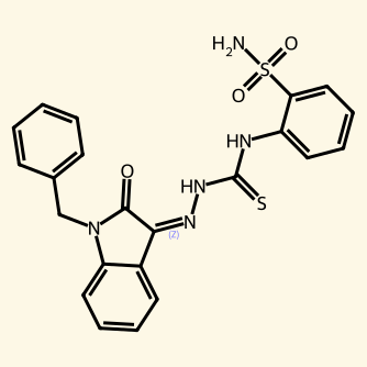 NS(=O)(=O)c1ccccc1NC(=S)N/N=C1\C(=O)N(Cc2ccccc2)c2ccccc21